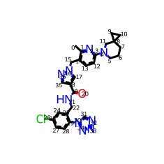 Cc1nc(N2CCCC3(CC3)C2)ccc1Cn1cc(C(=O)NCc2cc(Cl)ccc2-n2cnnn2)cn1